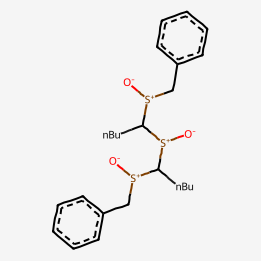 CCCCC([S+]([O-])Cc1ccccc1)[S+]([O-])C(CCCC)[S+]([O-])Cc1ccccc1